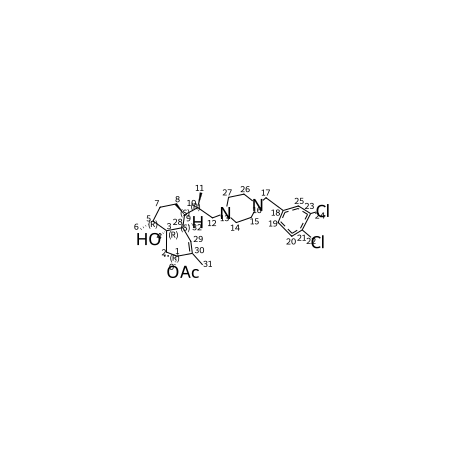 CC(=O)O[C@@H]1[C][C@@]2(O)[C@H](C)CC[C@@H]([C@@H](C)CN3CCN(Cc4ccc(Cl)c(Cl)c4)CC3)[C@H]2C=C1C